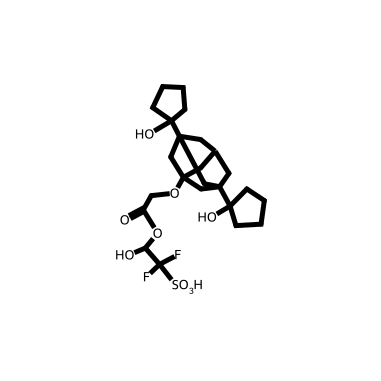 O=C(COC12CC3CC(C4(O)CCCC4)(C1)CC(C1(O)CCCC1)(C3)C2)OC(O)C(F)(F)S(=O)(=O)O